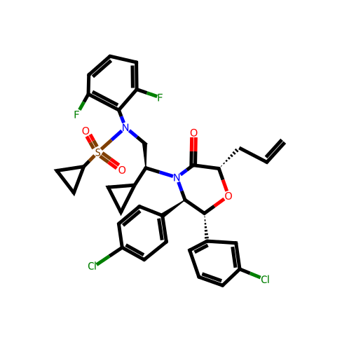 C=CC[C@@H]1O[C@H](c2cccc(Cl)c2)[C@@H](c2ccc(Cl)cc2)N([C@H](CN(c2c(F)cccc2F)S(=O)(=O)C2CC2)C2CC2)C1=O